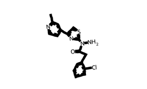 Cc1cc(-c2csc(N(N)C(=O)Cc3ccccc3Cl)n2)ccn1